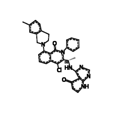 Cc1ccc2c(c1)CN(c1cccc3c(Cl)c([C@H](C)Nc4ncnc5[nH]ccc(=O)c45)n(-c4ccccc4)c(=O)c13)CC2